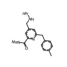 CCCNCc1cc(Cc2ccc(C)cc2)nc(C(=O)NC)c1